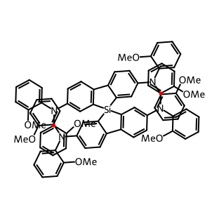 COc1ccccc1N(c1ccc2c(c1)[Si]1(c3cc(N(c4ccccc4OC)c4ccccc4OC)ccc3-2)c2cc(N(c3ccccc3OC)c3ccccc3OC)ccc2-c2ccc(N(c3ccccc3OC)c3ccccc3OC)cc21)c1ccccc1OC